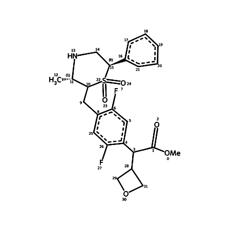 COC(=O)C(c1cc(F)c(CC2[C@H](C)NC[C@@H](c3ccccc3)S2(=O)=O)cc1F)C1COC1